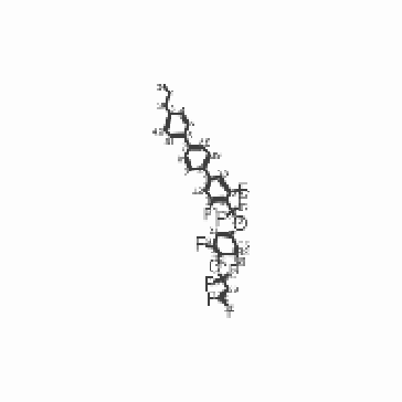 CCCc1ccc(-c2ccc(-c3cc(F)c(C(F)(F)Oc4cc(F)c(OC(F)(F)C=C(F)F)c(F)c4)c(F)c3)cc2)cc1